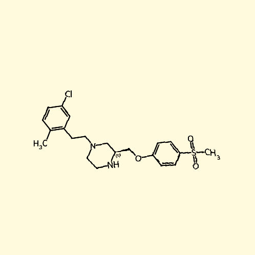 Cc1ccc(Cl)cc1CCN1CCN[C@H](COc2ccc(S(C)(=O)=O)cc2)C1